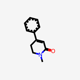 CN1CCC(c2ccccc2)=CC1=O